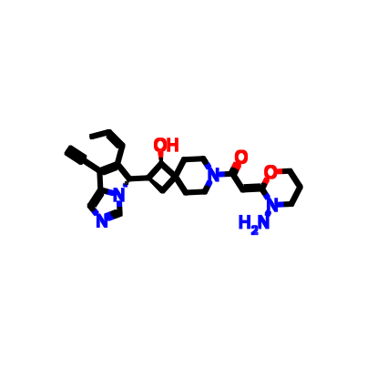 C#CC1=C(/C=C\C)[C@H]([C@@H]2CC3(CCN(C(=O)/C=C4\OCCCN4N)CC3)[C@@H]2O)n2cncc21